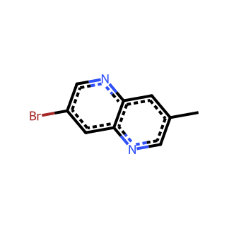 Cc1cnc2cc(Br)cnc2c1